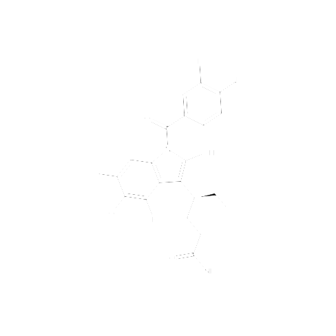 CC[C@@H](CCC(N)=O)c1c(C)n(C(=O)c2ccc(F)c(F)c2)c2cc(F)c(O)c(F)c12